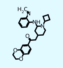 C=Nc1ccccc1NC1CC(CC(=O)c2ccc3c(c2)OCCO3)CCN1C1CCC1